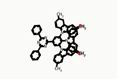 Cc1ccc2c(c1)c1c(n2-c2cc(-c3nc(-c4ccccc4)nc(-c4ccccc4)n3)cc(-n3c4ccc(C)cc4c4cc(C)ccc43)c2-n2c3ccc(C)cc3c3cc(C)ccc32)C=CC(C)C1